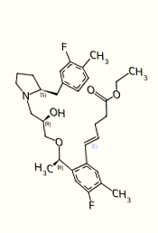 CCOC(=O)CC/C=C/c1cc(C)c(F)cc1[C@@H](C)OC[C@H](O)CN1CCC[C@H]1Cc1ccc(C)c(F)c1